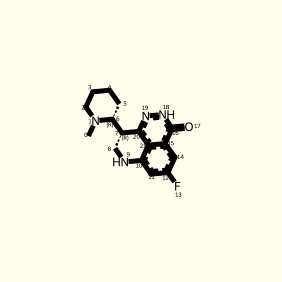 CN1CCCC[C@@H]1[C@H]1CNc2cc(F)cc3c(=O)[nH]nc1c23